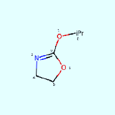 CC(C)OC1=NCCO1